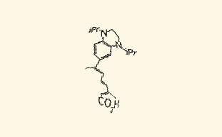 CC(C=CC=C(C)c1ccc2c(c1)N(C(C)C)CCN2C(C)C)=CC(=O)O